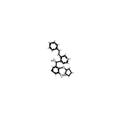 COc1cccc(C(O)c2ccncc2CCc2ccccc2)c1OC1CCCC1